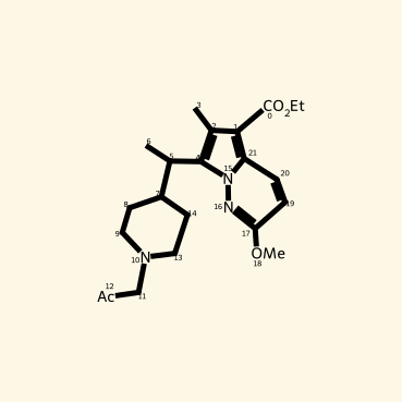 CCOC(=O)c1c(C)c(C(C)C2CCN(CC(C)=O)CC2)n2nc(OC)ccc12